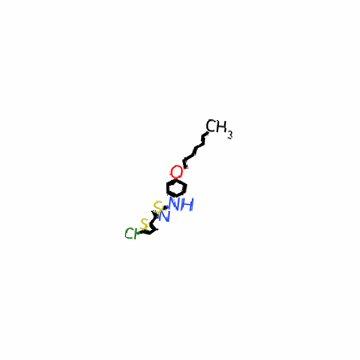 CCCCCCCCOc1ccc(Nc2nc(-c3ccc(Cl)s3)cs2)cc1